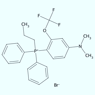 CCC[P+](c1ccccc1)(c1ccccc1)c1ccc(N(C)C)cc1OC(F)(F)F.[Br-]